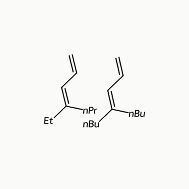 C=CC=C(CC)CCC.C=CC=C(CCCC)CCCC